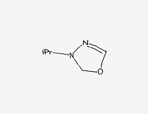 CC(C)N1COC=N1